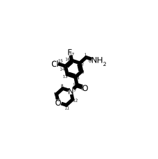 NCc1cc(C(=O)N2CCOCC2)cc(Cl)c1F